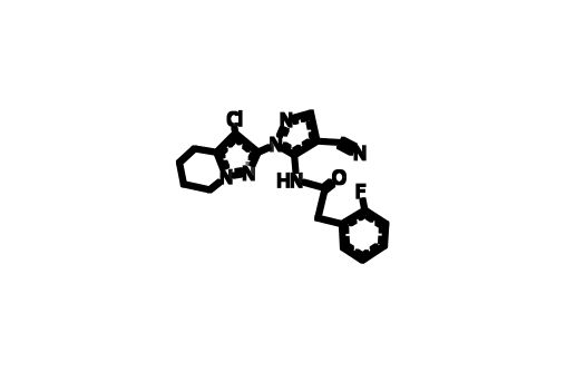 N#Cc1cnn(-c2nn3c(c2Cl)CCCC3)c1NC(=O)Cc1ccccc1F